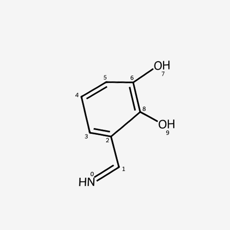 N=Cc1cccc(O)c1O